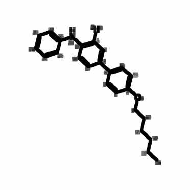 [2H]c1cc(-c2ccc(OCCCCCC)cc2)ccc1Nc1ccccc1